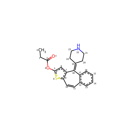 CCC(=O)Oc1cc2c(s1)C=Cc1ccccc1C2=C1CCNCC1